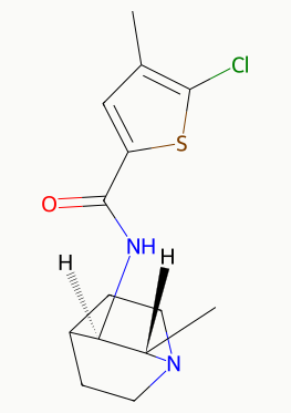 Cc1cc(C(=O)N[C@@H]2C3CCN(CC3)[C@H]2C)sc1Cl